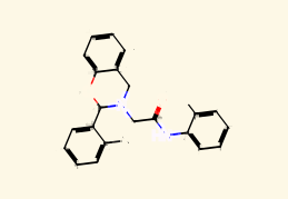 Cc1ccccc1NC(=O)CN1Cc2ccccc2OC1c1ccccc1[N+](=O)[O-]